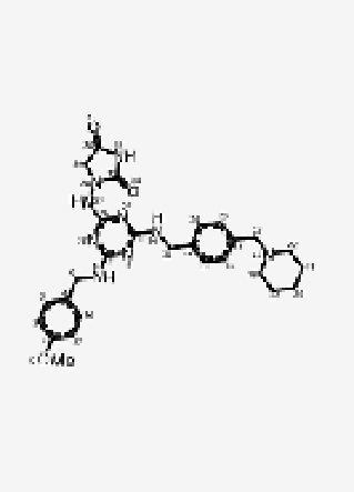 COc1ccc(CNc2nc(NCc3ccc(CN4CCCCC4)cc3)nc(NN3CC(=O)NC3=O)n2)cc1